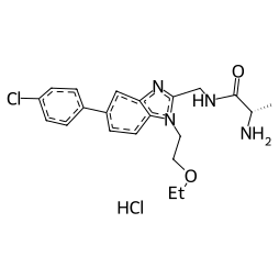 CCOCCn1c(CNC(=O)[C@H](C)N)nc2cc(-c3ccc(Cl)cc3)ccc21.Cl